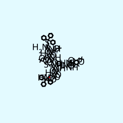 CSCC[C@H](NC(=O)[C@H](Cc1ccccc1)NC(=O)[C@H](CC(=O)OC(C)(C)C)NC(=O)[C@@H](NC(=O)[C@@H](N)CSC(c1ccccc1)(c1ccccc1)c1ccccc1)[C@@H](C)OC(C)(C)C)C(=O)N[C@@H](CCCNC(=N)NS(=O)(=O)c1c(C)c(C)c2c(c1C)CC(C)(C)O2)C(=O)N[C@@H](CC(=O)NC(c1ccccc1)(c1ccccc1)c1ccccc1)C(=O)O